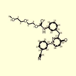 COCCOCCOC(=O)Nc1cccc(Cc2nn(-c3cccc(C#N)c3)ccc2=O)c1